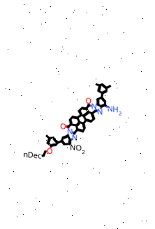 CCCCCCCCCCCCOc1cc(C)cc(-c2cc([N+](=O)[O-])c3nc4c5ccc6c7ccc8c9c(ccc(c%10ccc(c(=O)n4c3c2)c5c%106)c79)c(=O)n2c3cc(-c4cc(C)cc(C)c4)cc(N)c3nc82)c1